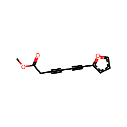 COC(=O)CC#CC#Cc1ccco1